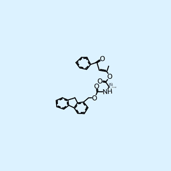 CC(=CC(=O)c1ccccc1)OC(=O)[C@H](C)NC(=O)OCc1cccc2c1Cc1ccccc1-2